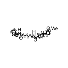 COc1cccc(-c2cn3cc(C(=O)NCCCCCCC(=O)NOC4CCCCO4)sc3n2)c1